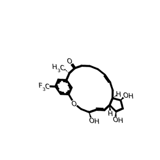 C[C@@H]1C(=O)CCC/C=C\C[C@@H]2[C@@H](/C=C/[C@@H](O)COc3cc1cc(C(F)(F)F)c3)[C@H](O)C[C@@H]2O